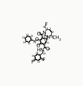 C[C@@H]1C=C[C@H](CF)N2CN1n1cc(C(=O)NCc3ccc(F)cc3F)c(=O)c(OCc3ccccc3)c1C2=O